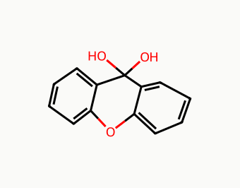 OC1(O)c2ccccc2Oc2ccccc21